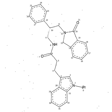 CC(C)n1cc(CCC(=O)NC[C@@H](CN2Cc3ccccc3C2=O)c2ccccc2)c2ccccc21